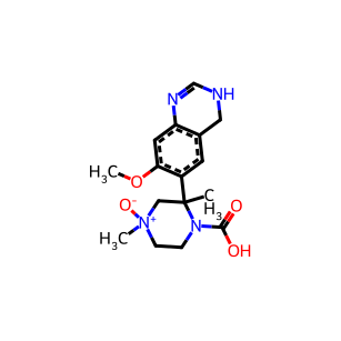 COc1cc2c(cc1C1(C)C[N+](C)([O-])CCN1C(=O)O)CNC=N2